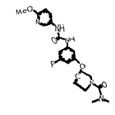 COc1ccc(NC(=O)Nc2cc(F)cc(OC3CCCN(C(=O)N(C)C)C3)c2)cn1